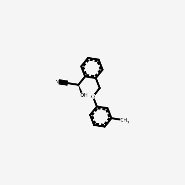 Cc1cccc(OCc2ccccc2[C@@H](O)C#N)c1